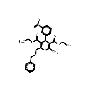 CCOC(=O)C1=C(C)NC(CSCc2ccccc2)=C(C(=O)OCC)C1c1cccc([N+](=O)[O-])c1